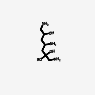 NCC(O)CC(N)CC(O)(O)CN